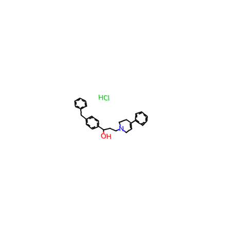 Cl.OC(CCN1CC=C(c2ccccc2)CC1)c1ccc(Cc2ccccc2)cc1